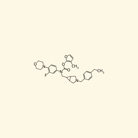 CCc1ccc(CN2CC3C(C2)C3CN(C(=O)Oc2occc2C)c2ccc(N3CCOCC3)c(F)c2)cc1